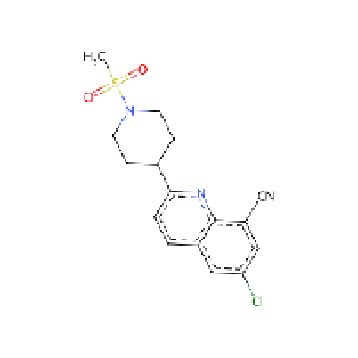 CS(=O)(=O)N1CCC(c2ccc3cc(Cl)cc(C#N)c3n2)CC1